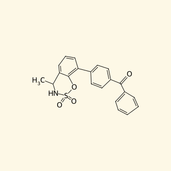 CC1NS(=O)(=O)Oc2c(-c3ccc(C(=O)c4ccccc4)cc3)cccc21